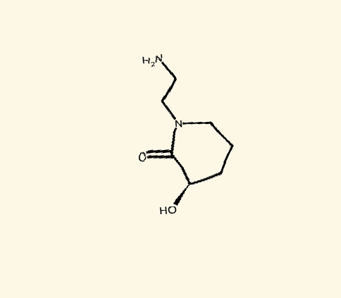 NCCN1CCC[C@@H](O)C1=O